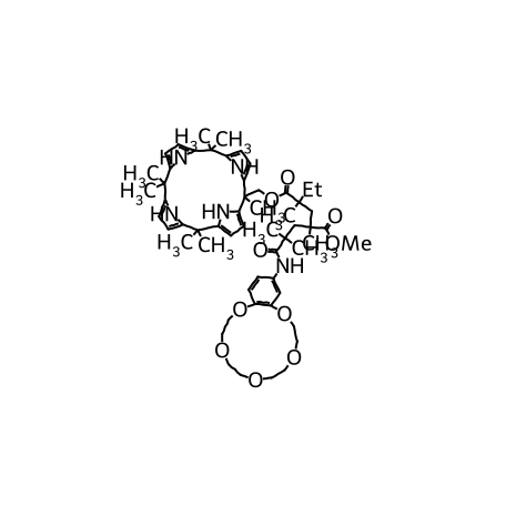 CCC(C)(CC(C)(CC(C)(C)C(=O)Nc1ccc2c(c1)OCCOCCOCCOCCO2)C(=O)OC)C(=O)OCC1(C)c2ccc([nH]2)C(C)(C)c2ccc([nH]2)C(C)(C)c2ccc([nH]2)C(C)(C)c2ccc1[nH]2